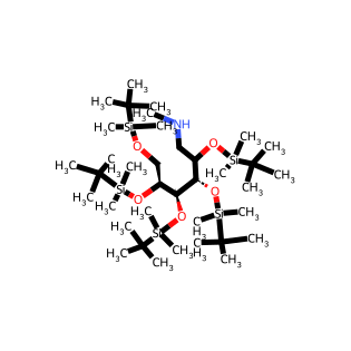 CNCC(O[Si](C)(C)C(C)(C)C)[C@H](O[Si](C)(C)C(C)(C)C)[C@@H](O[Si](C)(C)C(C)(C)C)[C@H](CO[Si](C)(C)C(C)(C)C)O[Si](C)(C)C(C)(C)C